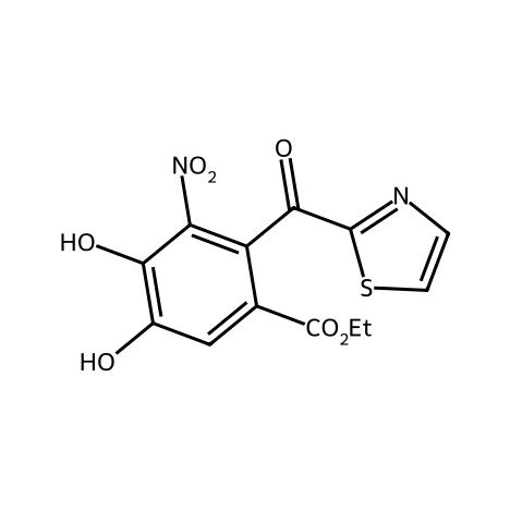 CCOC(=O)c1cc(O)c(O)c([N+](=O)[O-])c1C(=O)c1nccs1